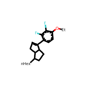 CCCCCCC1CCC2C(c3ccc(OCC)c(F)c3F)=CCC12